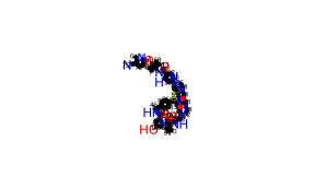 Cc1nc(O[C@H]2C(C)(C)[C@H](NC(=O)c3ccc(N4CCN(CCCN5CCN(CC(=O)N[C@H](C(=O)N6C[C@H](O)C[C@H]6C(=O)N[C@@H](C)c6ccc(-c7scnc7C)cc6)C(C)(C)C)CC5)CC4)nc3)C2(C)C)ccc1C#N